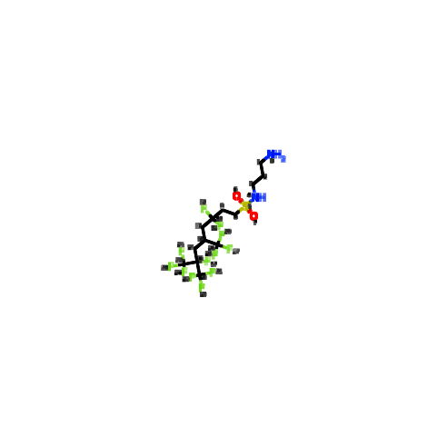 NCCCNS(=O)(=O)CCC(F)(F)CC(CC(F)(C(F)(F)F)C(F)(F)F)C(F)(F)F